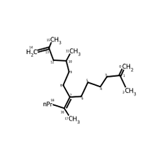 C=C(C)CCCCC(CCC(C)CC(=C)C)=C(C)CCC